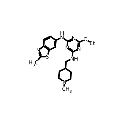 CCOc1nc(NCC2CCN(C)CC2)nc(Nc2ccc3nc(C)sc3c2)n1